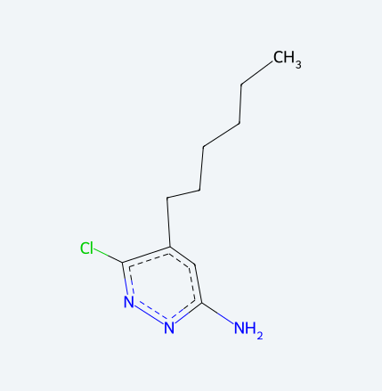 CCCCCCc1cc(N)nnc1Cl